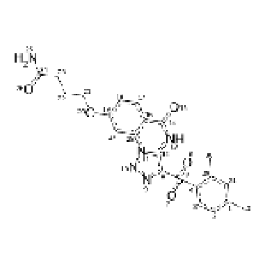 Cc1ccc(S(=O)(=O)c2nnn3c2[nH]c(=O)c2ccc(OCCCC(N)=O)cc23)c(C)c1